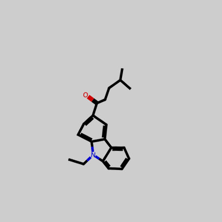 CCn1c2ccccc2c2cc(C(=O)CCC(C)C)ccc21